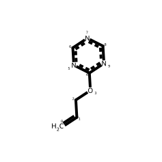 C=CCOc1ncncn1